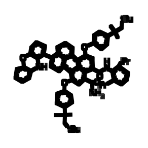 CC(C)c1cccc(C(C)C)c1NC(=O)c1cc(Oc2ccc(C(C)(C)CC(C)(C)C)cc2)c2c3cccc4c(-c5cccc6c5Nc5ccccc5O6)ccc(c5c(Oc6ccc(C(C)(C)CC(C)(C)C)cc6)cc(C(N)=O)c1c52)c43